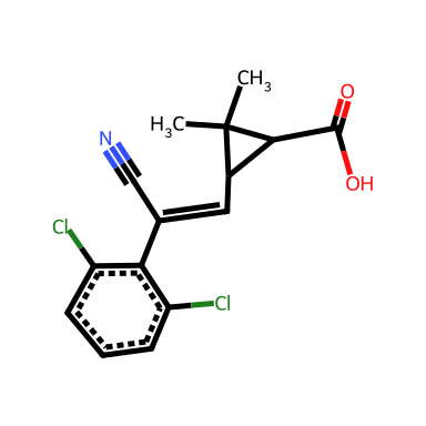 CC1(C)C(C=C(C#N)c2c(Cl)cccc2Cl)C1C(=O)O